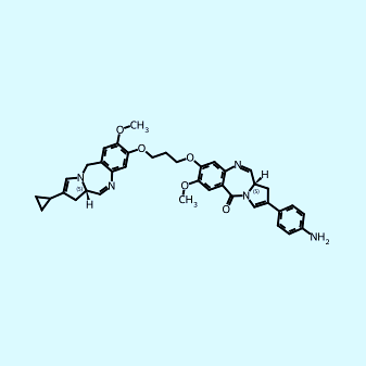 COc1cc2c(cc1OCCCOc1cc3c(cc1OC)C(=O)N1C=C(c4ccc(N)cc4)C[C@H]1C=N3)N=C[C@@H]1CC(C3CC3)=CN1C2